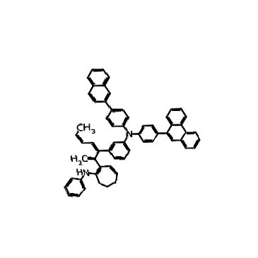 C=C(C1=C(Nc2ccccc2)CCCC=C1)/C(=C\C=C/C)c1cccc(N(c2ccc(-c3ccc4ccccc4c3)cc2)c2ccc(-c3cc4ccccc4c4ccccc34)cc2)c1